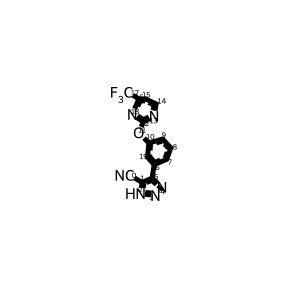 N#Cc1[nH]nnc1-c1cccc(Oc2nccc(C(F)(F)F)n2)c1